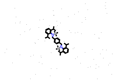 CC(C)c1cccc(C(C)C)c1N(Cc1ccc(CN(c2c(C(C)C)cccc2C(C)C)[Si](C)(C)C)cc1)[Si](C)(C)C